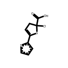 O=C(O)C1(Cl)CC=C(c2cccs2)S1